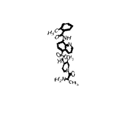 Cc1ccccc1C(=O)Nc1ccc(S(=O)(=O)NC2CCN(C(=O)C(C)N)CC2C)c2cccnc12